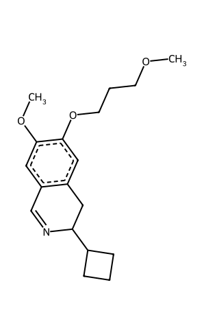 COCCCOc1cc2c(cc1OC)C=NC(C1CCC1)C2